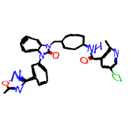 Cc1nc(-c2cccc(-n3c(=O)n(CC4CCC(NC(=O)c5cc(Cl)cnc5C)CC4)c4ccccc43)c2)no1